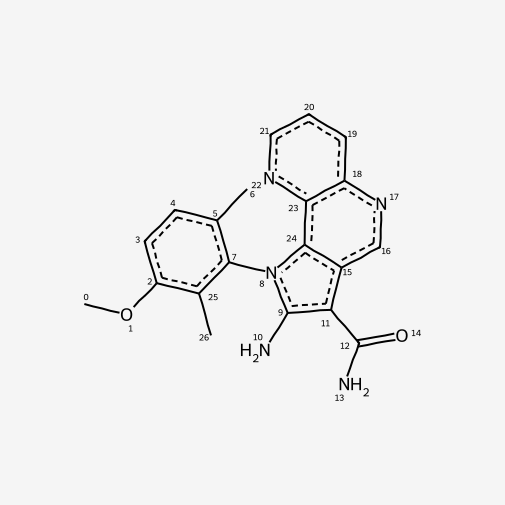 COc1ccc(C)c(-n2c(N)c(C(N)=O)c3cnc4cccnc4c32)c1C